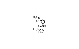 COC(=O)c1cccc(NC(=O)C2=C(C)OCCS2)c1